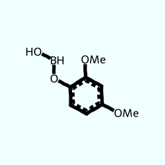 COc1ccc(OBO)c(OC)c1